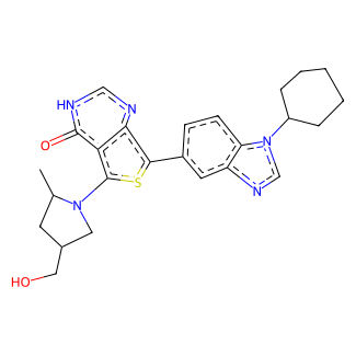 CC1CC(CO)CN1c1sc(-c2ccc3c(c2)ncn3C2CCCCC2)c2nc[nH]c(=O)c12